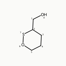 OCC1CCCOS1